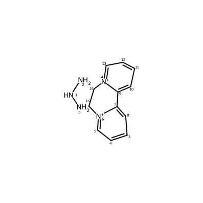 NNN.c1cc[n+]2c(c1)-c1cccc[n+]1CC2